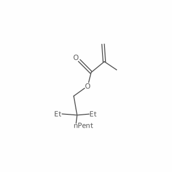 C=C(C)C(=O)OCC(CC)(CC)CCCCC